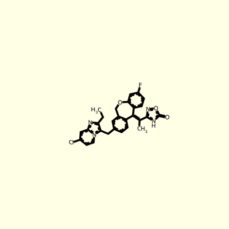 CCc1nc2cc(Cl)ccn2c1Cc1ccc2c(c1)COc1cc(F)ccc1/C2=C(/C)c1noc(=O)[nH]1